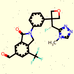 Cn1cnnc1[C@H](F)C1(c2cccc(N3Cc4c(cc(C=O)cc4C(F)(F)F)C3=O)c2)COC1